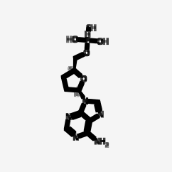 Nc1ncnc2c1ncn2[C@H]1CC[C@@H](CO[PH](O)(O)S)O1